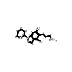 NCCCc1c(Cl)cc2c(cnn2C2CCCCO2)c1Br